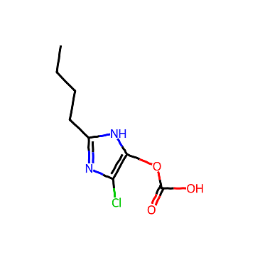 CCCCc1nc(Cl)c(OC(=O)O)[nH]1